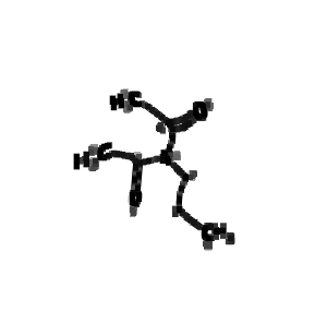 CCCN(C(C)=O)C(C)=O